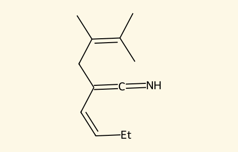 CC/C=C\C(=C=N)CC(C)=C(C)C